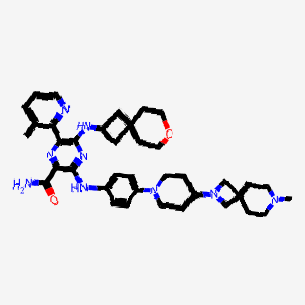 Cc1cccnc1-c1nc(C(N)=O)c(Nc2ccc(N3CCC(N4CC5(CCN(C)CC5)C4)CC3)cc2)nc1NC1CC2(CCOCC2)C1